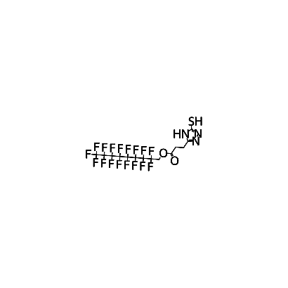 O=C(CCc1nnc(S)[nH]1)OCC(F)(F)C(F)(F)C(F)(F)C(F)(F)C(F)(F)C(F)(F)C(F)(F)C(F)(F)F